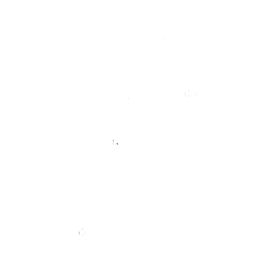 CC(C)(C)Cc1ccc2ccc(-c3cc(C(C)(C)C)c4ccccc4c3)nc2c1